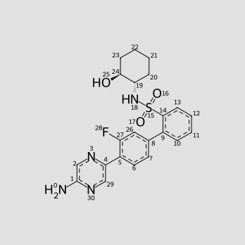 Nc1cnc(-c2ccc(-c3ccccc3S(=O)(=O)N[C@H]3CCCC[C@@H]3O)cc2F)cn1